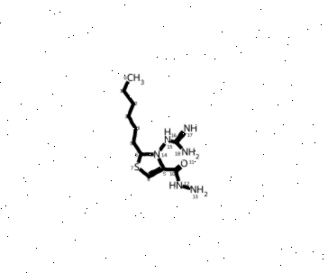 CCCCCCC1SC=C(C(=O)NN)N1NC(=N)N